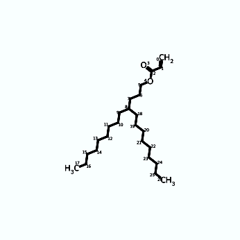 C=CC(=O)OCCCC(CCCCCCCCC)CCCCCCCCC